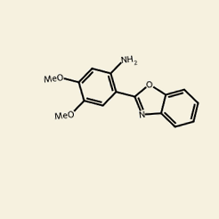 COc1cc(N)c(-c2nc3ccccc3o2)cc1OC